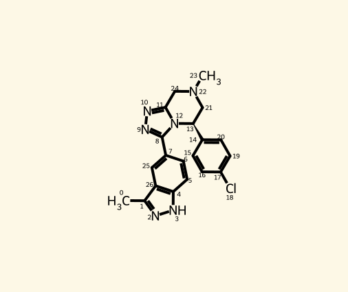 Cc1n[nH]c2ccc(-c3nnc4n3[C@H](c3ccc(Cl)cc3)CN(C)C4)cc12